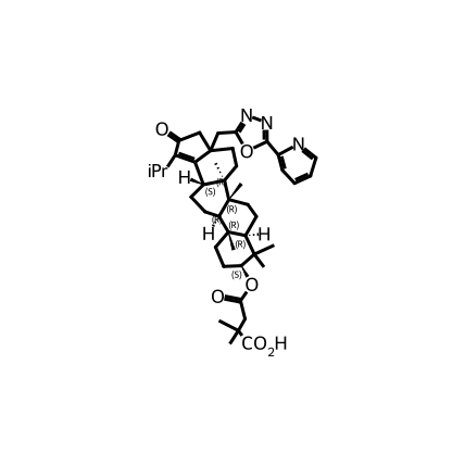 CC(C)C1=C2[C@H]3CC[C@@H]4[C@@]5(C)CC[C@H](OC(=O)CC(C)(C)C(=O)O)C(C)(C)[C@@H]5CC[C@@]4(C)[C@]3(C)CCC2(Cc2nnc(-c3ccccn3)o2)CC1=O